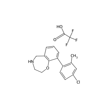 Cc1cc(Cl)ccc1-c1cccc2c1OCCNC2.O=C(O)C(F)(F)F